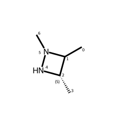 CC1[C@H](C)NN1C